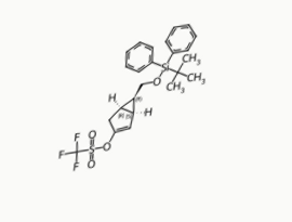 CC(C)(C)[Si](OC[C@H]1[C@H]2C=C(OS(=O)(=O)C(F)(F)F)C[C@H]21)(c1ccccc1)c1ccccc1